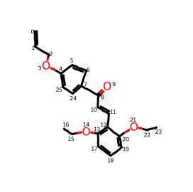 C=CCOc1ccc(C(=O)C=Cc2c(OCC)cccc2OCC)cc1